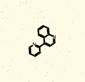 [c]1cccnc1-c1ccnc2ccccc12